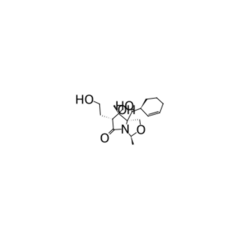 C[C@@H]1OC[C@]2([C@H](O)[C@@H]3C=CCCC3)N1C(=O)[C@H](CCO)[C@]2(C)O